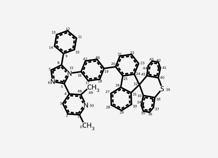 Cc1ccc(-c2ncc(-c3ccccc3)n2-c2ccc(-c3cccc4c3-c3ccccc3C43c4ccccc4Sc4ccccc43)cc2)c(C)n1